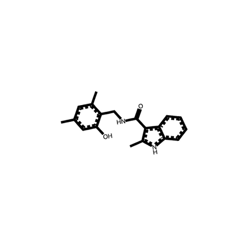 Cc1cc(C)c(CNC(=O)c2c(C)[nH]c3ccccc23)c(O)c1